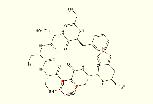 CC(C)C[C@H](NC(=O)[C@H](CO)NC(=O)[C@H](Cc1ccccc1)NC(=O)CN)C(=O)N[C@@H](CO)C(=O)N[C@@H](CO)C(=O)N[C@@H](Cc1ccc(O)cc1)C(=O)N[C@@H](Cc1c[nH]cn1)C(=O)O